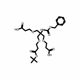 CC(C)(C)OC(=O)CCOCC(COCCC(=O)O)(COCCC(=O)O)NC(=O)OCc1ccccc1